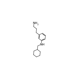 NCCCc1cccc(NCC2CCCCC2)c1